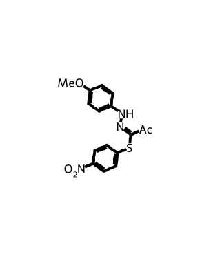 COc1ccc(N/N=C(/Sc2ccc([N+](=O)[O-])cc2)C(C)=O)cc1